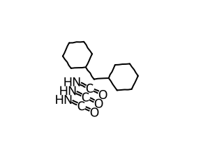 C1CCC(CC2CCCCC2)CC1.N=C=O.N=C=O.N=C=O